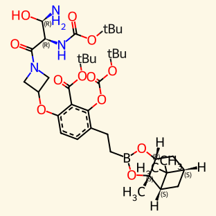 CC(C)(C)OC(=O)N[C@@H](C(=O)N1CC(Oc2ccc(CCB3O[C@@H]4C[C@@H]5C[C@@H](C5(C)C)[C@]4(C)O3)c(OC(=O)OC(C)(C)C)c2C(=O)OC(C)(C)C)C1)[C@H](N)O